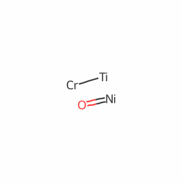 [O]=[Ni].[Ti][Cr]